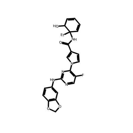 CCC1(NC(=O)c2ccn(-c3nc(Nc4ccc5c(c4)OCO5)ncc3F)c2)C=CC=CC1O